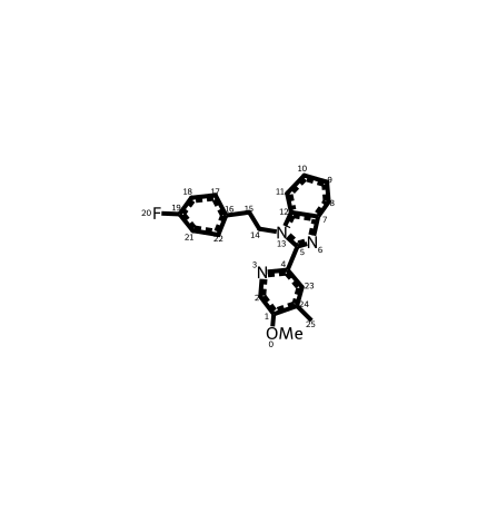 COc1cnc(-c2nc3ccccc3n2CCc2ccc(F)cc2)cc1C